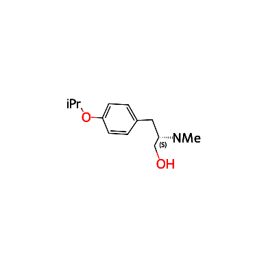 CN[C@H](CO)Cc1ccc(OC(C)C)cc1